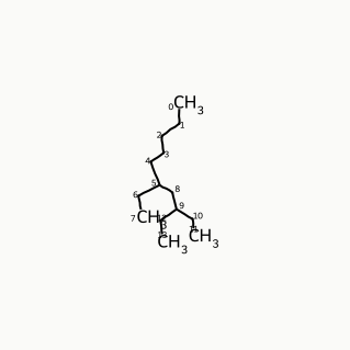 CCCCCC(CC)CC(CC)CC